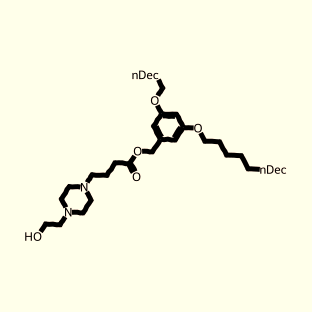 CCCCCCCCCCCCCCCOc1cc(COC(=O)CCCN2CCN(CCO)CC2)cc(OCCCCCCCCCCC)c1